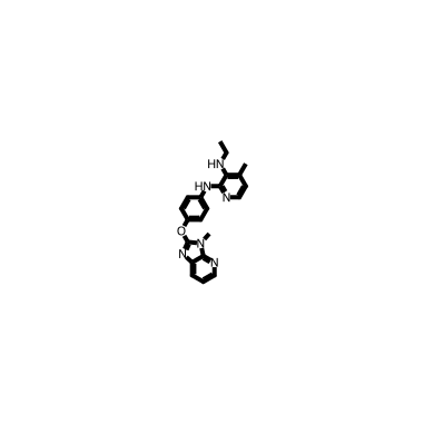 CCNc1c(C)ccnc1Nc1ccc(Oc2nc3cccnc3n2C)cc1